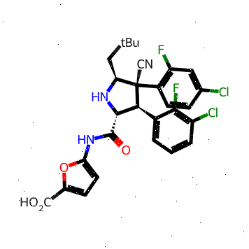 CC(C)(C)C[C@@H]1N[C@@H](C(=O)Nc2ccc(C(=O)O)o2)[C@H](c2cccc(Cl)c2F)[C@@]1(C#N)c1ccc(Cl)cc1F